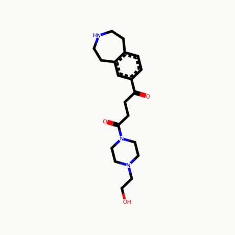 O=C(CCC(=O)N1CCN(CCO)CC1)c1ccc2c(c1)CCNCC2